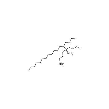 Br.CCCCCCCCCCCCC(CCCC)C(N)(CCCC)CCCC